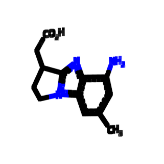 Cc1cc(N)c2nc3n(c2c1)CCC3CC(=O)O